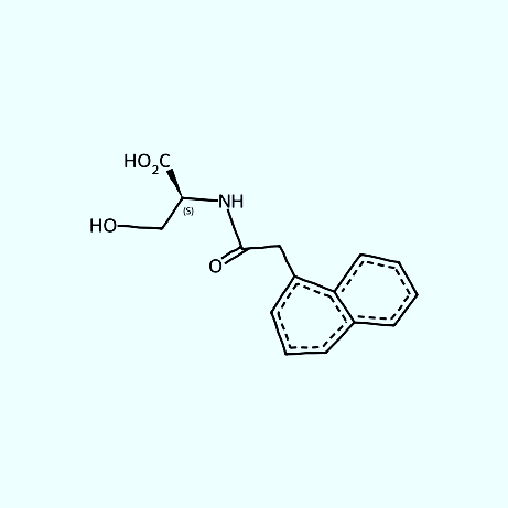 O=C(Cc1cccc2ccccc12)N[C@@H](CO)C(=O)O